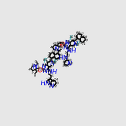 CCN1CCCC1(CC)COc1nc(NCCc2c[nH]c3ncccc23)c2cnc(-c3cccc4c(C(C)N5CCCC5(CC)COc5nc(NCCNc6cccnc6)c6cnc(-c7cccc8cccc(F)c78)c(F)c6n5)ccc(F)c34)c(F)c2n1